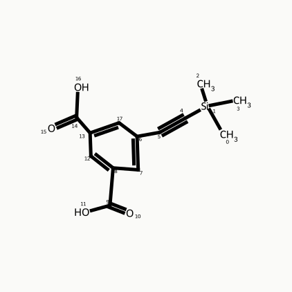 C[Si](C)(C)C#Cc1cc(C(=O)O)cc(C(=O)O)c1